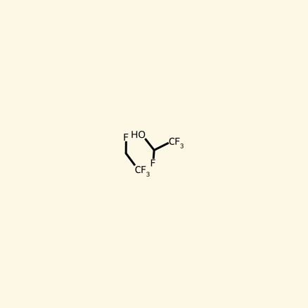 FCC(F)(F)F.OC(F)C(F)(F)F